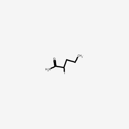 [CH2]CCC(I)C(N)=O